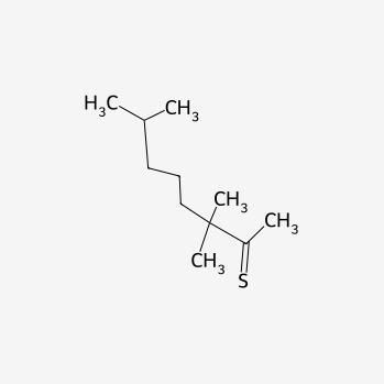 CC(=S)C(C)(C)CCCC(C)C